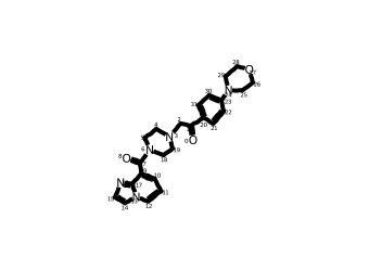 O=C(CN1CCN(C(=O)c2cccn3ccnc23)CC1)c1ccc(N2CCOCC2)cc1